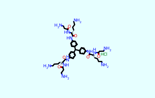 Cl.NCCCC[C@@H](NC(=O)CCN)C(=O)Nc1ccc(C(c2ccc(NC(=O)[C@@H](CCCCN)NC(=O)CCN)cc2)c2ccc(NC(=O)[C@@H](CCCCN)NC(=O)CCN)cc2)cc1